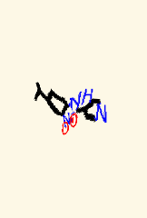 CC(C)c1ccc(NCc2ccncc2)c([N+](=O)[O-])c1